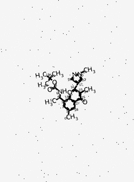 Cc1cc([C@@H](C)NC(=O)OC(C)(C)C)c2oc(-c3cnn(C)c3)c(C)c(=O)c2c1